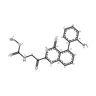 CC(C)(C)OC(=O)NCC(=O)c1nc2cccc(-c3ccccc3N)c2c(=O)o1